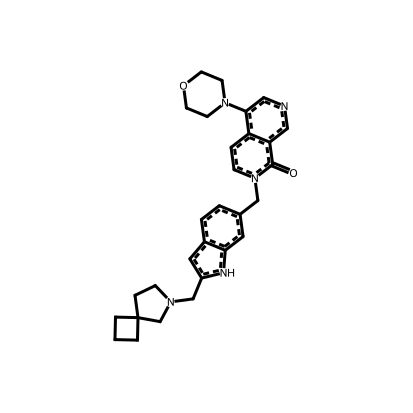 O=c1c2cncc(N3CCOCC3)c2ccn1Cc1ccc2cc(CN3CCC4(CCC4)C3)[nH]c2c1